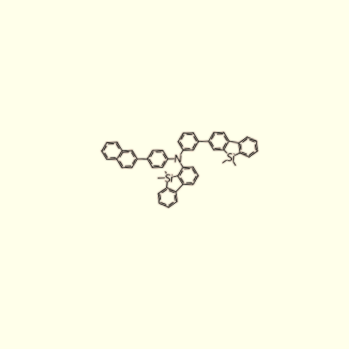 C[Si]1(C)c2ccccc2-c2ccc(-c3cccc(N(c4ccc(-c5ccc6ccccc6c5)cc4)c4cccc5c4[Si](C)(C)c4ccccc4-5)c3)cc21